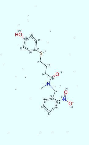 CN(Cc1ccccc1[N+](=O)[O-])C(=O)CCCSc1ccc(O)cc1